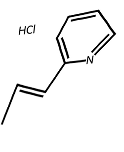 CC=Cc1ccccn1.Cl